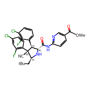 COC(=O)c1ccc(NC(=O)[C@@H]2N[C@@H](CC(C)(C)C)[C@](C#N)(c3ccc(Cl)cc3F)[C@H]2c2cccc(Cl)c2F)nc1